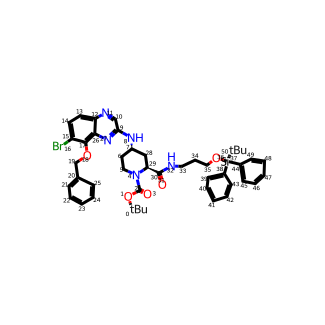 CC(C)(C)OC(=O)N1CC[C@H](Nc2cnc3ccc(Br)c(OCc4ccccc4)c3n2)C[C@H]1C(=O)NCCCO[Si](c1ccccc1)(c1ccccc1)C(C)(C)C